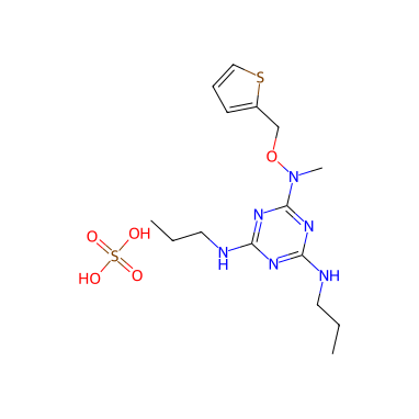 CCCNc1nc(NCCC)nc(N(C)OCc2cccs2)n1.O=S(=O)(O)O